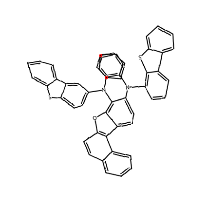 c1ccc(N(c2ccc3sc4ccccc4c3c2)c2c(N(c3ccccc3)c3cccc4c3sc3ccccc34)ccc3c2oc2ccc4ccccc4c23)cc1